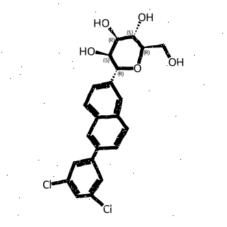 OC[C@H]1O[C@H](c2ccc3cc(-c4cc(Cl)cc(Cl)c4)ccc3c2)[C@@H](O)[C@@H](O)[C@@H]1O